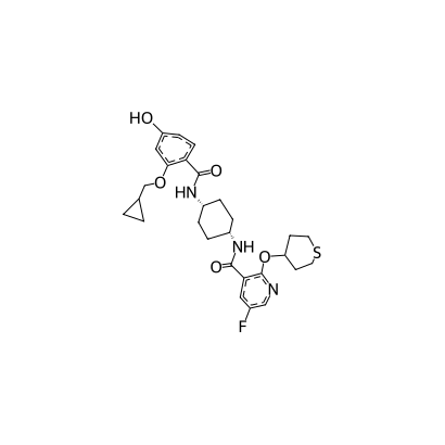 O=C(N[C@H]1CC[C@@H](NC(=O)c2cc(F)cnc2OC2CCSCC2)CC1)c1ccc(O)cc1OCC1CC1